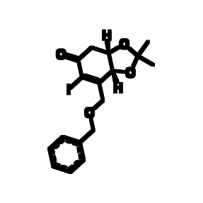 CC1(C)O[C@H]2CC(=O)C(I)=C(COCc3ccccc3)[C@H]2O1